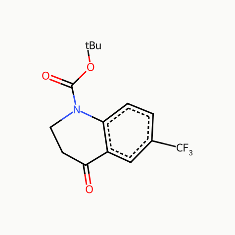 CC(C)(C)OC(=O)N1CCC(=O)c2cc(C(F)(F)F)ccc21